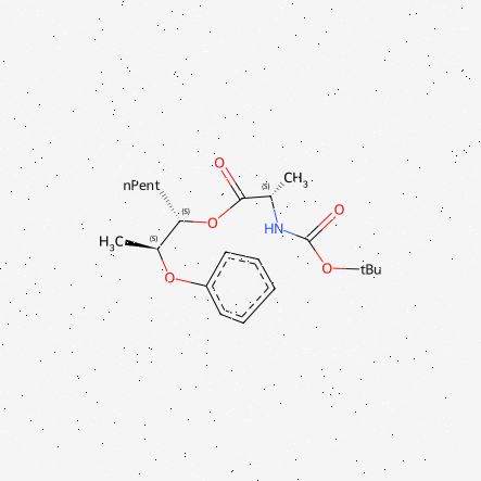 CCCCC[C@H](OC(=O)[C@H](C)NC(=O)OC(C)(C)C)[C@H](C)Oc1ccccc1